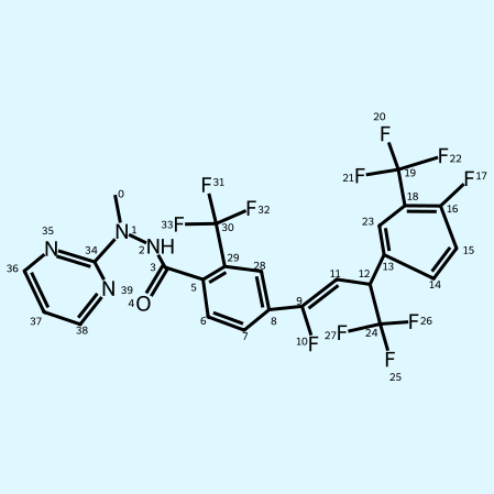 CN(NC(=O)c1ccc(/C(F)=C/C(c2ccc(F)c(C(F)(F)F)c2)C(F)(F)F)cc1C(F)(F)F)c1ncccn1